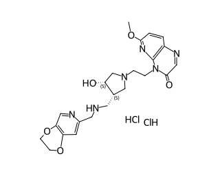 COc1ccc2ncc(=O)n(CCN3C[C@H](CNCc4cc5c(cn4)OCCO5)[C@H](O)C3)c2n1.Cl.Cl